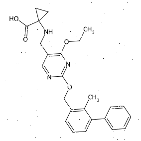 CCOc1nc(OCc2cccc(-c3ccccc3)c2C)ncc1CNC1(C(=O)O)CC1